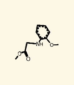 COC(=O)CNc1ccccc1OC